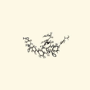 CCCC#Cc1ccc(C(=O)N(Cc2ccc(-c3ccc(C(=O)N4CCC(O)CC4)cc3)cc2)C2CCN(CCC(C)C)CC2)nc1